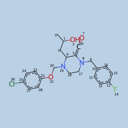 CC(O)CC1C(=C=O)N(Cc2ccc(F)cc2)CCN1COc1ccc(Cl)cc1